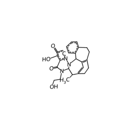 CC1C2=CC3=C(CC2)CCc2ccccc2C3N2C1N(CCO)C(=O)c1c(O)c(=O)ccn12